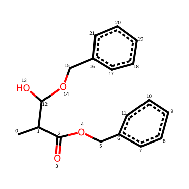 CC(C(=O)OCc1ccccc1)C(O)OCc1ccccc1